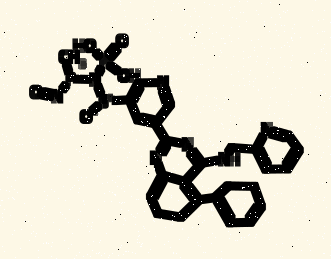 CP(N=O)N([S+]([O-])c1cncc(-c2nc(NCc3ccccn3)c3c(n2)=CCCC=3C2=CC=CCC2)c1)P(=O)(O)O